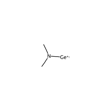 C[N](C)[Ge+]